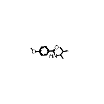 COc1ccc(C(=O)NC(C)C(C)C)cc1